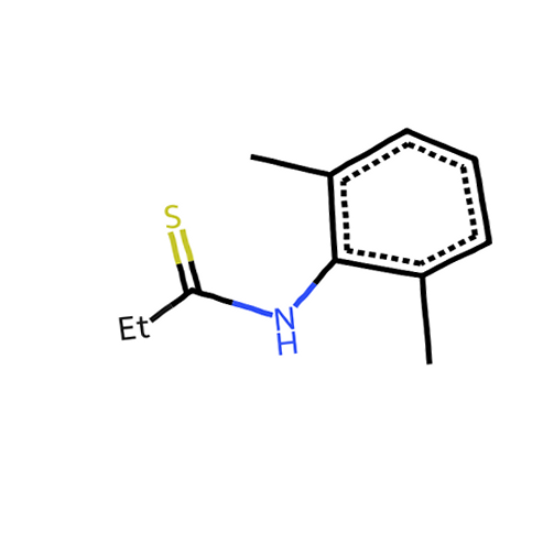 CCC(=S)Nc1c(C)cccc1C